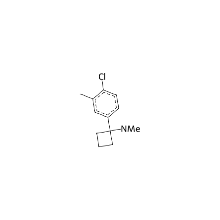 CNC1(c2ccc(Cl)c(C)c2)CCC1